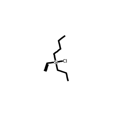 C=C[Si](Cl)(CCC)CCCC